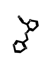 O=[C]C1OC=CC=C1OCc1cnccn1